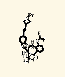 [2H]C([2H])([2H])N1C(=O)c2cccc(OC(F)F)c2[C@H]2C[C@@H]1c1nc3ccc(C#CC4CN(C(C)C)C4)cc3n12